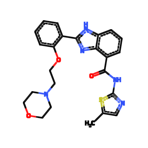 Cc1cnc(NC(=O)c2cccc3[nH]c(-c4ccccc4OCCN4CCOCC4)nc23)s1